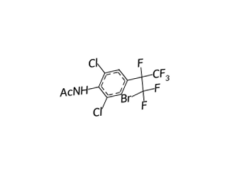 CC(=O)Nc1c(Cl)cc(C(F)(C(F)(F)F)C(F)(F)Br)cc1Cl